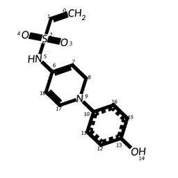 C=CS(=O)(=O)NC1=CCN(c2ccc(O)cc2)C=C1